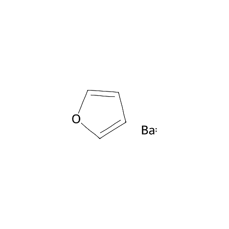 [Ba].c1ccoc1